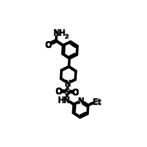 CCc1cccc(NS(=O)(=O)N2CCC(c3cccc(C(N)=O)c3)CC2)n1